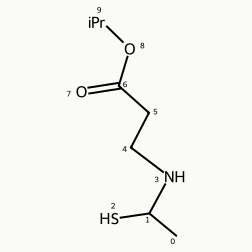 CC(S)NCCC(=O)OC(C)C